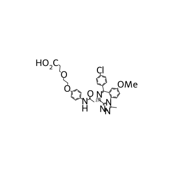 COc1ccc2c(c1)C(c1ccc(Cl)cc1)=N[C@@H](CC(=O)Nc1ccc(OCCOCCC(=O)O)cc1)c1nnc(C)n1-2